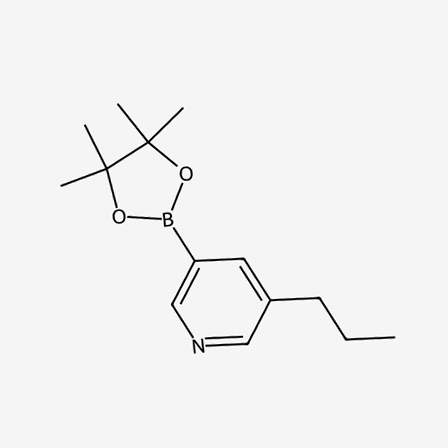 CCCc1cncc(B2OC(C)(C)C(C)(C)O2)c1